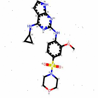 COc1cc(S(=O)(=O)N2CCOCC2)ccc1Nc1nc(NC2CC2)c2cc[nH]c2n1